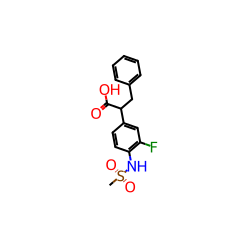 CS(=O)(=O)Nc1ccc(C(Cc2ccccc2)C(=O)O)cc1F